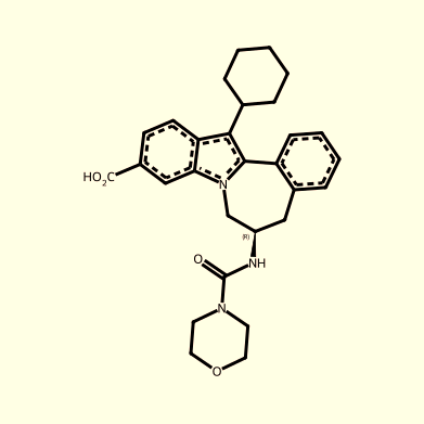 O=C(O)c1ccc2c(C3CCCCC3)c3n(c2c1)C[C@H](NC(=O)N1CCOCC1)Cc1ccccc1-3